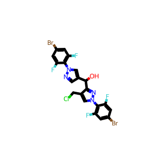 OC(c1cnn(-c2c(F)cc(Br)cc2F)c1)c1nn(-c2c(F)cc(Br)cc2F)cc1CCl